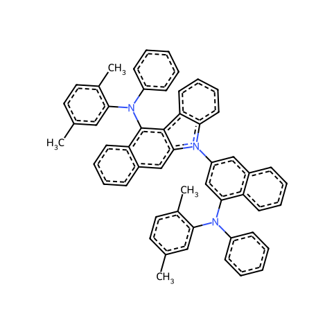 Cc1ccc(C)c(N(c2ccccc2)c2cc(-n3c4ccccc4c4c(N(c5ccccc5)c5cc(C)ccc5C)c5ccccc5cc43)cc3ccccc23)c1